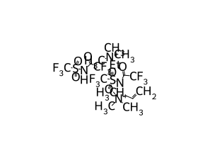 C=CC[N+](C)(C)C.CC[N+](C)(C)C.O=C(NS(=O)(=O)C(F)(F)F)C(F)(F)F.O=C(NS(=O)(=O)C(F)(F)F)C(F)(F)F